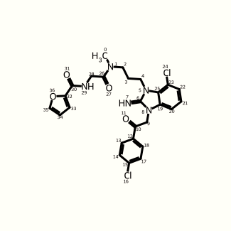 CN(CCCn1c(=N)n(CC(=O)c2ccc(Cl)cc2)c2cccc(Cl)c21)C(=O)CNC(=O)c1ccco1